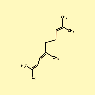 CC(=O)/C(C)=C/C=C(\C)CCC=C(C)C